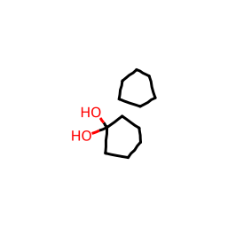 C1CCCCC1.OC1(O)CCCCC1